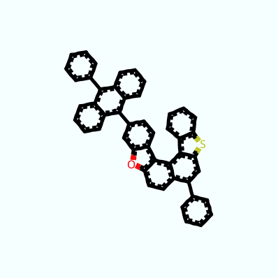 c1ccc(-c2c3ccccc3c(-c3ccc4c(c3)oc3ccc5c(-c6ccccc6)cc6sc7ccccc7c6c5c34)c3ccccc23)cc1